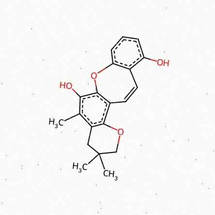 Cc1c(O)c2c(c3c1CC(C)(C)CO3)C=Cc1c(O)cccc1O2